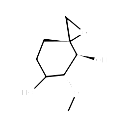 CO[C@@H]1C(O)CC[C@]2(CO2)[C@H]1O